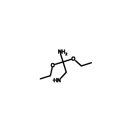 CCOC(N)(C[NH])OCC